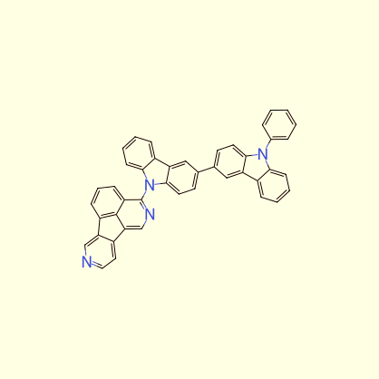 c1ccc(-n2c3ccccc3c3cc(-c4ccc5c(c4)c4ccccc4n5-c4ncc5c6c(cccc46)-c4cnccc4-5)ccc32)cc1